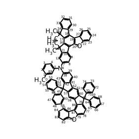 Cc1cccc(N(c2ccc3c(c2)C(C)(C)c2c4c(c5c(oc6ccccc65)c2-3)-c2ccccc2C4(C)C)c2ccc3c(c2)C(c2ccccc2)(c2ccccc2)c2cc4c(cc2-3)C(c2ccccc2)(c2ccccc2)c2ccc3oc5ccccc5c3c2-4)c1